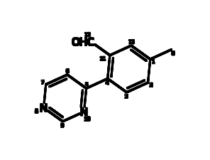 Cc1ccc(-c2ccncn2)c(C=O)c1